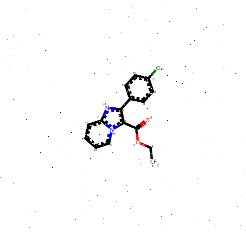 O=C(OCC(F)(F)F)c1c(-c2ccc(Cl)cc2)nc2ccccn12